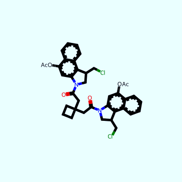 CC(=O)Oc1cc2c(c3ccccc13)C(CCl)CN2C(=O)CC1(CC(=O)N2CC(CCl)c3c2cc(OC(C)=O)c2ccccc32)CCC1